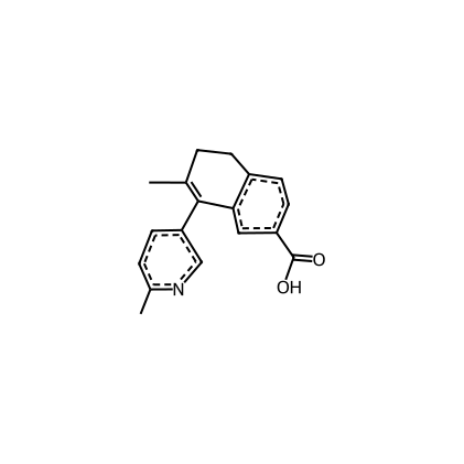 CC1=C(c2ccc(C)nc2)c2cc(C(=O)O)ccc2CC1